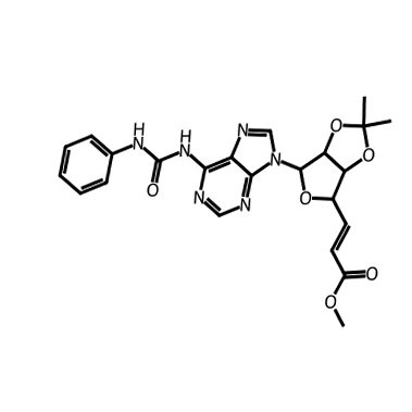 COC(=O)C=CC1OC(n2cnc3c(NC(=O)Nc4ccccc4)ncnc32)C2OC(C)(C)OC12